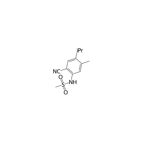 Cc1cc(NS(C)(=O)=O)c(C#N)cc1C(C)C